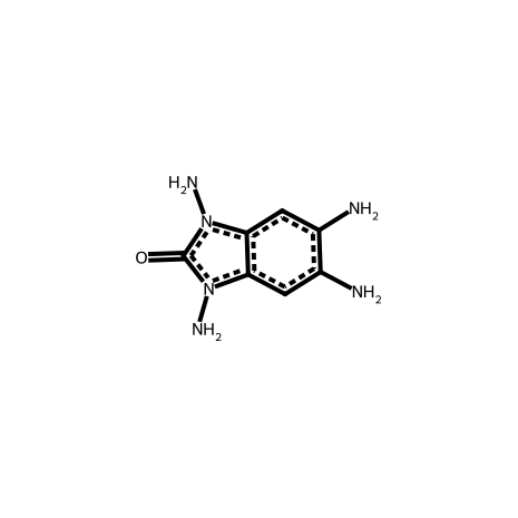 Nc1cc2c(cc1N)n(N)c(=O)n2N